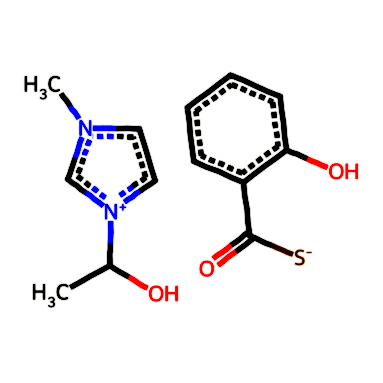 CC(O)[n+]1ccn(C)c1.O=C([S-])c1ccccc1O